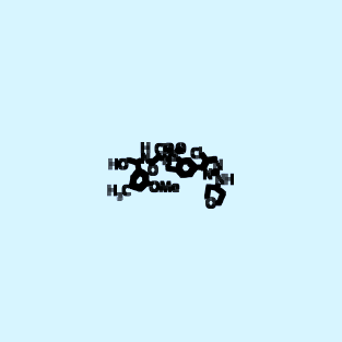 COc1cc(C)cc(C(CO)NC(=O)C(C)N2Cc3ccc(-c4nc(NC5CCOCC5)ncc4Cl)cc3S2(=O)=O)c1